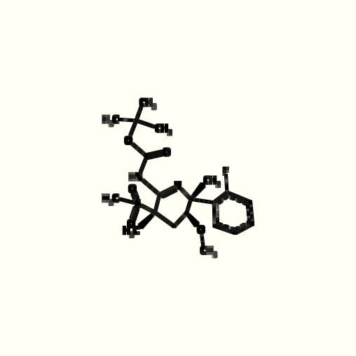 CO[C@H]1C[C@](C)(S(C)(=O)=O)C(NC(=O)OC(C)(C)C)=N[C@]1(C)c1ccccc1F